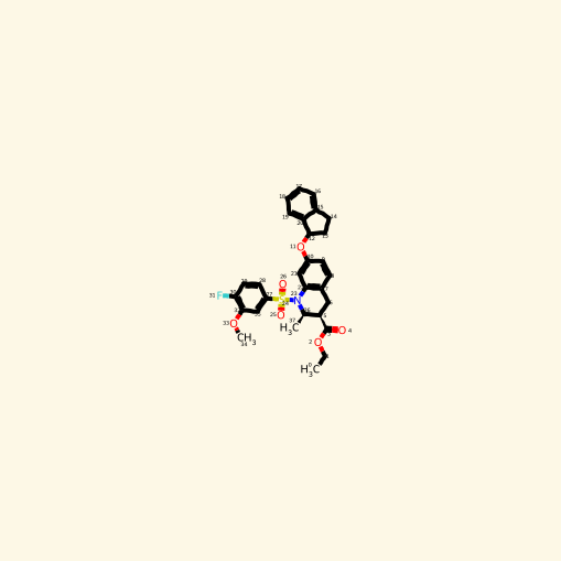 CCOC(=O)[C@@H]1Cc2ccc(OC3CCc4ccccc43)cc2N(S(=O)(=O)c2ccc(F)c(OC)c2)[C@@H]1C